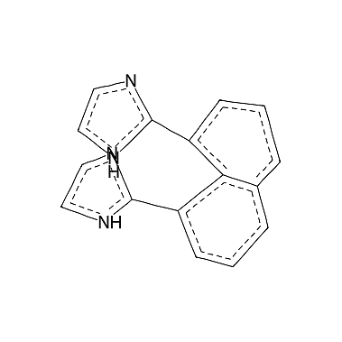 c1cc(-c2ncc[nH]2)c2c(-c3ncc[nH]3)cccc2c1